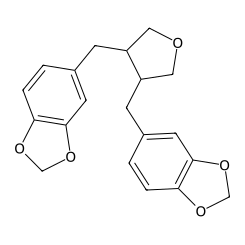 c1cc2c(cc1CC1COCC1Cc1ccc3c(c1)OCO3)OCO2